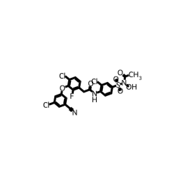 CC(=O)N(O)S(=O)(=O)c1ccc(NC(=O)Cc2ccc(Cl)c(Oc3cc(Cl)cc(C#N)c3)c2F)c(Cl)c1